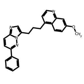 COc1ccc2c(CCCc3cnc4ccc(-c5ccccc5)nn34)ccnc2c1